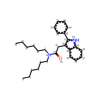 CCCCCCN(CCCCCC)C(=O)Cc1c(-c2ccccc2)[nH]c2ccccc12